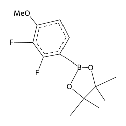 COc1ccc(B2OC(C)(C)C(C)(C)O2)c(F)c1F